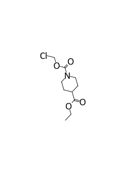 CCOC(=O)C1CCN(C(=O)OCCl)CC1